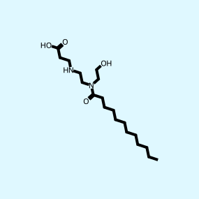 CCCCCCCCCCCC(=O)N(CCO)CCNCCC(=O)O